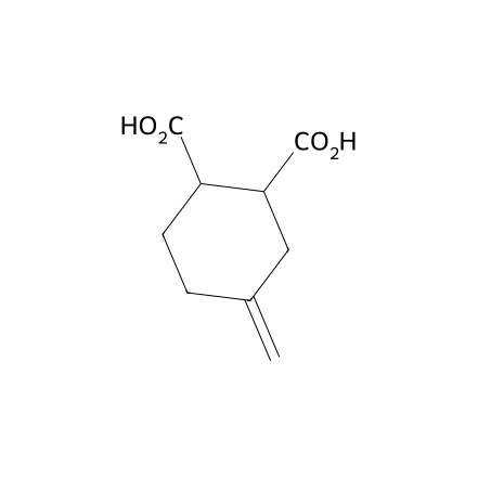 C=C1CCC(C(=O)O)C(C(=O)O)C1